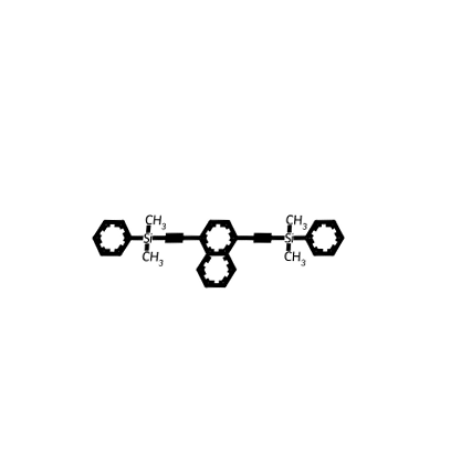 C[Si](C)(C#Cc1ccc(C#C[Si](C)(C)c2ccccc2)c2ccccc12)c1ccccc1